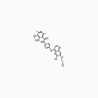 COCCOc1cc2nccc(Oc3ccc(NC(=O)c4c(C)nc(C)c(OC)c4O)cc3)c2nc1OC